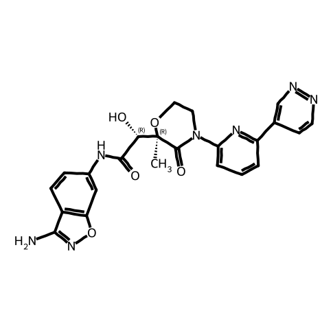 C[C@]1([C@@H](O)C(=O)Nc2ccc3c(N)noc3c2)OCCN(c2cccc(-c3ccnnc3)n2)C1=O